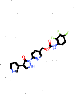 O=C(Nc1ccc(F)c(F)c1F)OCc1ccc(-n2[nH]cc(-c3cccnc3)c2=O)nc1